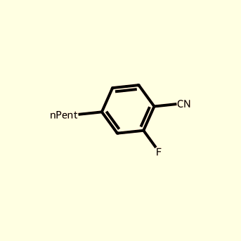 CCCCCc1ccc(C#N)c(F)c1